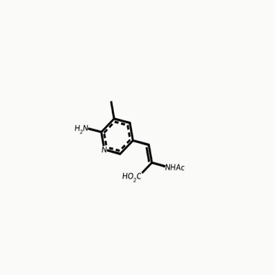 CC(=O)N/C(=C/c1cnc(N)c(C)c1)C(=O)O